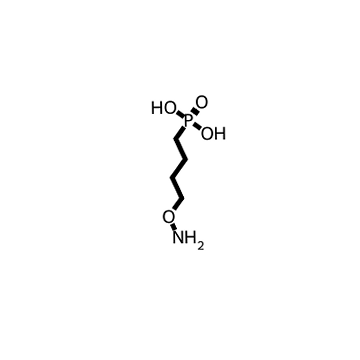 NOCCCCP(=O)(O)O